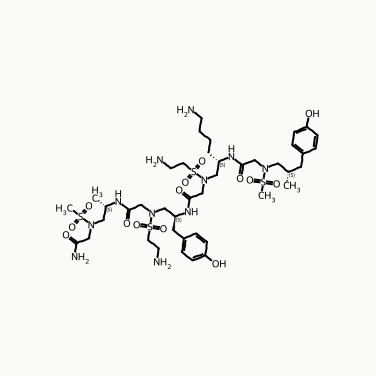 C[C@@H](Cc1ccc(O)cc1)CN(CC(=O)N[C@@H](CCCCN)CN(CC(=O)N[C@@H](Cc1ccc(O)cc1)CN(CC(=O)N[C@@H](C)CN(CC(N)=O)S(C)(=O)=O)S(=O)(=O)CCN)S(=O)(=O)CCN)S(C)(=O)=O